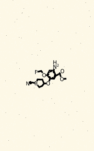 COC(=O)c1cc(OC2CCB(C#N)CC2)c(OCF)cc1N